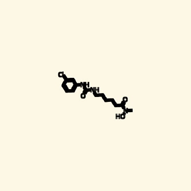 CN(O)C(=O)CCCCCNC(=O)Nc1cccc(Cl)c1